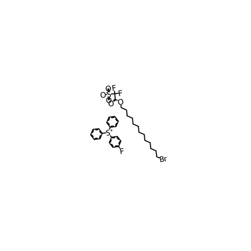 Fc1ccc([S+](c2ccccc2)c2ccccc2)cc1.O=C(OCCCCCCCCCCCCCBr)C(F)(F)S(=O)(=O)[O-]